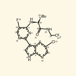 CC[C@H](C)[C@H](Nc1nc(-c2c[nH]c3ncc(Cl)cc23)ncc1F)C(=O)NCC(F)(F)F